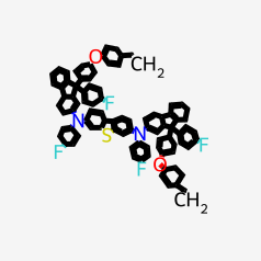 C=CC1C=CC(OC2C=CC(C3(C4=CCC(F)C=C4)c4ccccc4C4CCC(N(C5=CCC(F)C=C5)C5=CC6Sc7cc(N(C8=CC9C(C=C8)C8=C(CCC=C8)C9(c8ccc(F)cc8)C8C=CC(OC9C=CC(C=C)CC9)=CC8)c8ccc(F)cc8)ccc7C6C=C5)=CC43)=CC2)=CC1